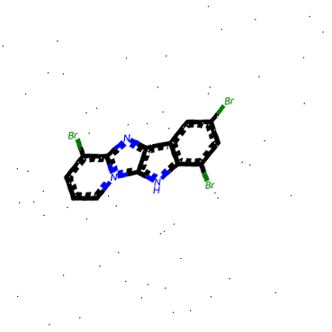 Brc1cc(Br)c2[nH]c3c(nc4c(Br)cccn43)c2c1